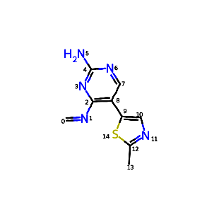 C=Nc1nc(N)ncc1-c1cnc(C)s1